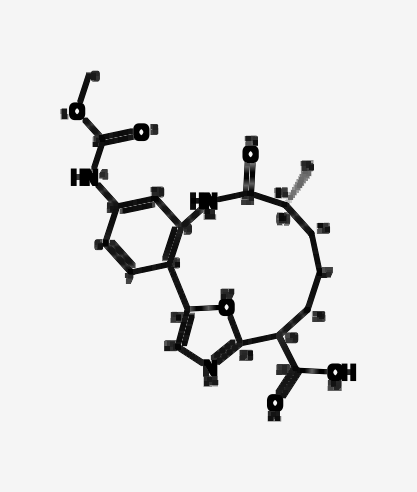 COC(=O)Nc1ccc2c(c1)NC(=O)[C@H](C)CCCC(C(=O)O)c1ncc-2o1